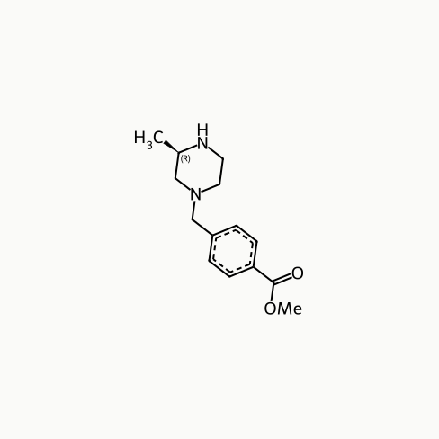 COC(=O)c1ccc(CN2CCN[C@H](C)C2)cc1